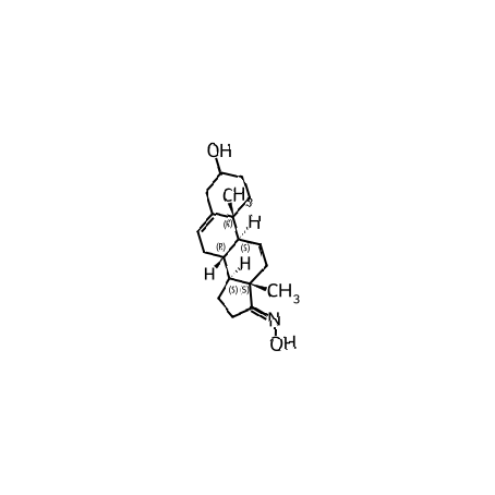 C[C@]12CCC(O)CC1=CC[C@@H]1[C@@H]2CC[C@]2(C)C(=NO)CC[C@@H]12